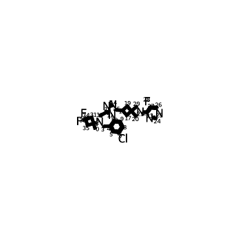 CC1(N2Cc3cc(Cl)ccc3-n3c(nnc3C3CC4(C3)CN(c3ncncc3F)C4)C2)CC(F)(F)C1